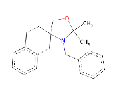 CC1(C)OCC2(CCc3ccccc3C2)N1Cc1ccccc1